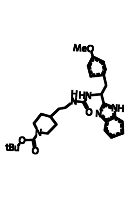 COc1ccc(CC(NC(=O)NCCC2CCN(C(=O)OC(C)(C)C)CC2)c2nc3ccccc3[nH]2)cc1